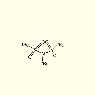 CC(C)(C)N(S(=O)(=O)C(C)(C)C)S(=O)(=O)C(C)(C)C